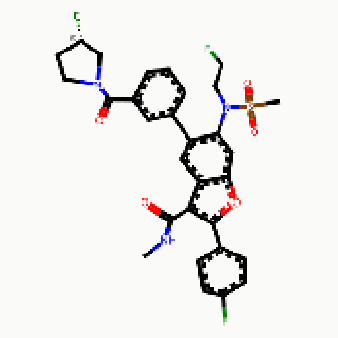 CNC(=O)c1c(-c2ccc(F)cc2)oc2cc(N(CCF)S(C)(=O)=O)c(-c3cccc(C(=O)N4CC[C@H](F)C4)c3)cc12